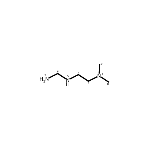 CN(C)CCNCN